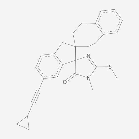 CSC1=NC2(C(=O)N1C)c1cc(C#CC3CC3)ccc1CC21CCc2ccccc2CC1